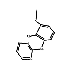 CSc1cccc(Nc2ncccn2)c1Cl